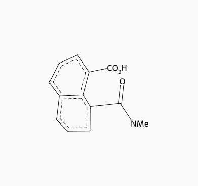 CNC(=O)c1cccc2cccc(C(=O)O)c12